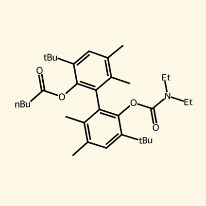 CCCCC(=O)Oc1c(C(C)(C)C)cc(C)c(C)c1-c1c(C)c(C)cc(C(C)(C)C)c1OC(=O)N(CC)CC